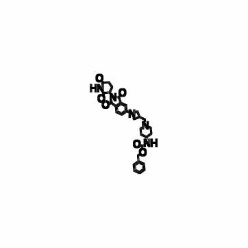 O=C1CCC(N2C(=O)c3ccc(N4CC(CN5CCC(NC(=O)OCc6ccccc6)CC5)C4)cc3C2=O)C(=O)N1